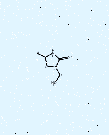 CC1CN(CO)C(=O)N1